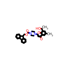 Cc1cc(C(C)O)c2oc(N3CCN(C(=O)OCC4c5ccccc5-c5ccccc54)CC3)cc(=O)c2c1